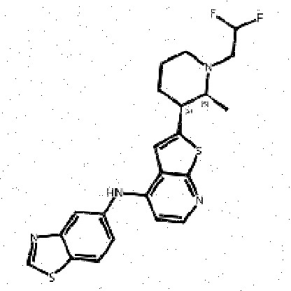 C[C@H]1[C@@H](c2cc3c(Nc4ccc5scnc5c4)ccnc3s2)CCCN1CC(F)F